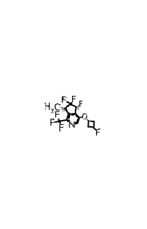 C[C@H]1c2c(C(F)(F)F)ncc(OC3CC(F)C3)c2[C@@H](F)C1(F)F